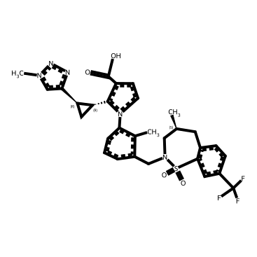 Cc1c(CN2C[C@@H](C)Cc3ccc(C(F)(F)F)cc3S2(=O)=O)cccc1-n1ccc(C(=O)O)c1[C@@H]1C[C@H]1c1cn(C)nn1